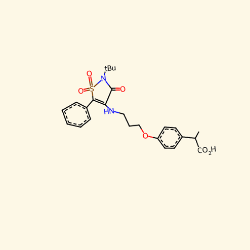 CC(C(=O)O)c1ccc(OCCCNC2=C(c3ccccc3)S(=O)(=O)N(C(C)(C)C)C2=O)cc1